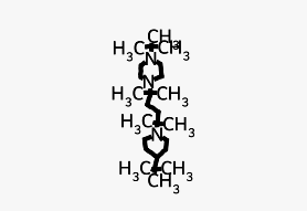 CC(C)(C)C1CCN(C(C)(C)CCC(C)(C)N2CCN(C(C)(C)C)CC2)CC1